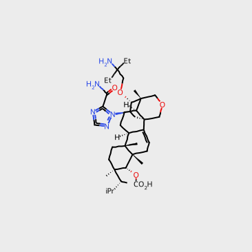 CCC(N)(CC)CO[C@H]1[C@H](n2ncnc2C(N)=O)C[C@@]23COC[C@]1(C)[C@@H]2CC[C@H]1C3=CC[C@]2(C)[C@H](OC(=O)O)[C@@](C)([C@H](C)C(C)C)CC[C@]12C